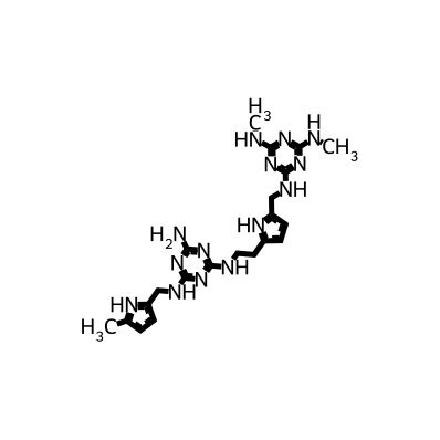 CNc1nc(NC)nc(NCc2ccc(CCNc3nc(N)nc(NCc4ccc(C)[nH]4)n3)[nH]2)n1